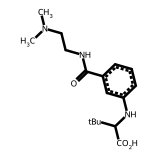 CN(C)CCNC(=O)c1cccc(NC(C(=O)O)C(C)(C)C)c1